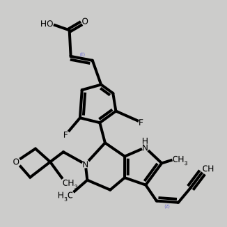 C#C/C=C\c1c(C)[nH]c2c1CC(C)N(CC1(C)COC1)C2c1c(F)cc(/C=C/C(=O)O)cc1F